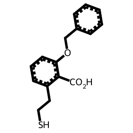 O=C(O)c1c(CCS)cccc1OCc1ccccc1